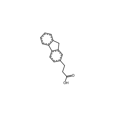 O=C(O)CCc1ccc2c(c1)Cc1ccccc1-2